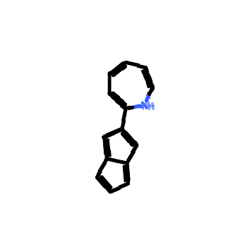 C1=CC=C(C2=CC3=CC=CC3=C2)NC=C1